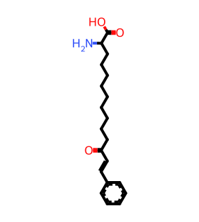 NC(CCCCCCCCCC(=O)C=Cc1ccccc1)C(=O)O